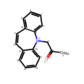 COC(=O)CN1c2ccccc2C=Cc2ccccc21